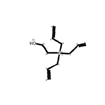 C=CC[N+](CC=C)(CC=C)CCO